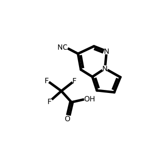 N#Cc1cnn2cccc2c1.O=C(O)C(F)(F)F